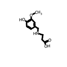 COc1cc(CNCCC(=O)O)ccc1O